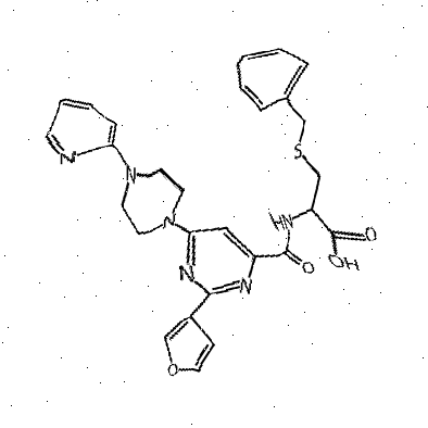 O=C(NC(CSCc1ccccc1)C(=O)O)c1cc(N2CCN(c3ccccn3)CC2)nc(-c2ccoc2)n1